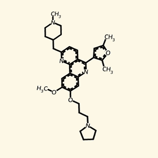 COc1cc2c(cc1OCCCN1CCCC1)nc(-c1cc(C)oc1C)c1ccc(CC3CCN(C)CC3)nc12